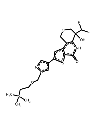 C[Si](C)(C)CCOCn1cc(-c2cc3c4c([nH]c(=O)c3s2)C(O)(C(F)F)COC4)cn1